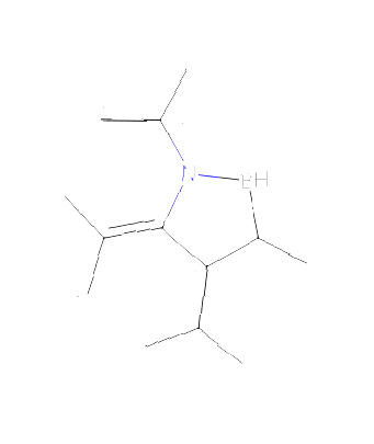 CC(C)=C1C(C(C)C)C(C)BN1C(C)C